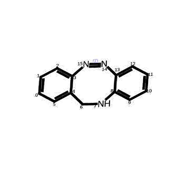 c1ccc2c(c1)CNc1ccccc1/N=N\2